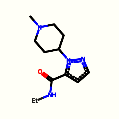 CCNC(=O)c1ccnn1C1CCN(C)CC1